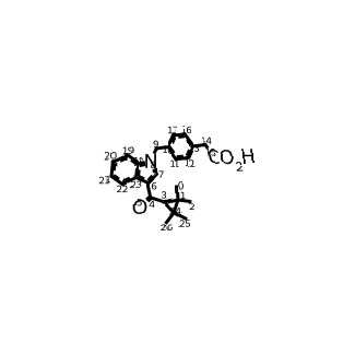 CC1(C)C(C(=O)c2cn(Cc3ccc(CC(=O)O)cc3)c3ccccc23)C1(C)C